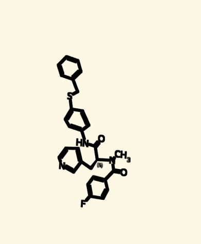 CN(C(=O)c1ccc(F)cc1)[C@@H](Cc1cccnc1)C(=O)Nc1ccc(SCc2ccccc2)cc1